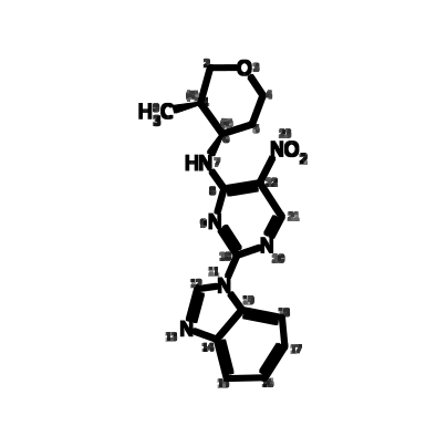 C[C@H]1COCC[C@H]1Nc1nc(-n2cnc3ccccc32)ncc1[N+](=O)[O-]